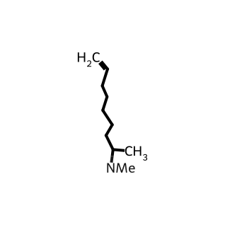 C=CCCCCCC(C)NC